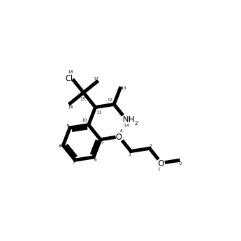 COCCOc1ccccc1C(C(C)N)C(C)(C)Cl